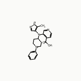 Cc1[nH]ncc1N(c1cnccc1C(=O)O)C1CCN(c2ccccc2)CC1